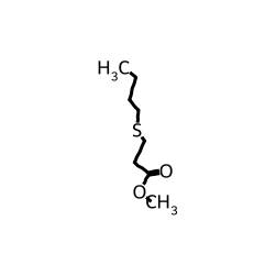 CCCCSCCC(=O)OC